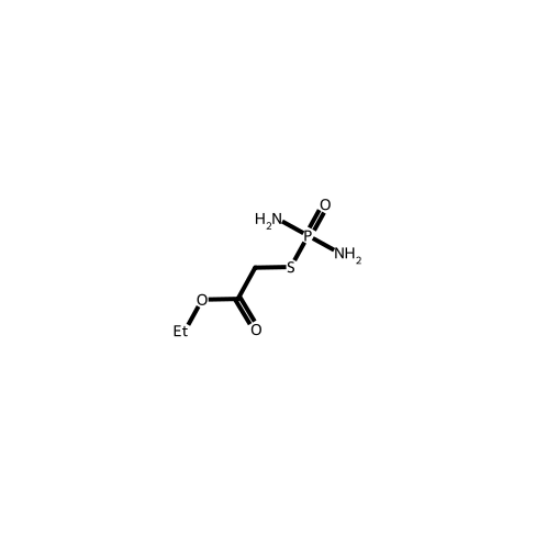 CCOC(=O)CSP(N)(N)=O